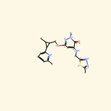 Cc1cccc(C2C(C)C2COc2cc(NCc3nnc(C)s3)c(=O)n(C)n2)n1